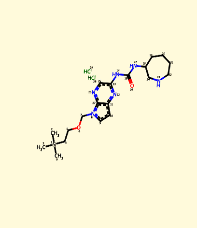 C[Si](C)(C)CCOCn1ccc2nc(NC(=O)NC3CCCCNC3)cnc21.Cl.Cl